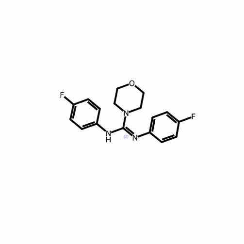 Fc1ccc(/N=C(/Nc2ccc(F)cc2)N2CCOCC2)cc1